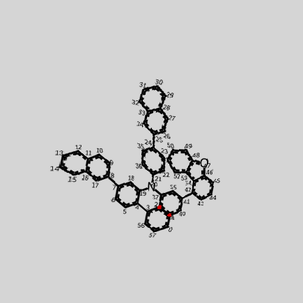 c1ccc(-c2ccc(-c3ccc4ccccc4c3)cc2N(c2ccc(-c3ccc4ccccc4c3)cc2)c2cccc(-c3cccc4oc5ccccc5c34)c2)cc1